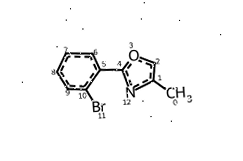 Cc1coc(-c2ccccc2Br)n1